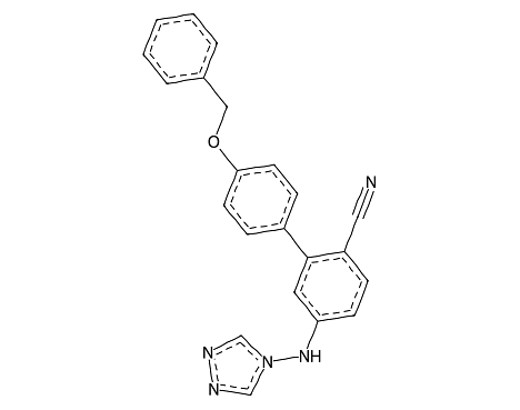 N#Cc1ccc(Nn2cnnc2)cc1-c1ccc(OCc2ccccc2)cc1